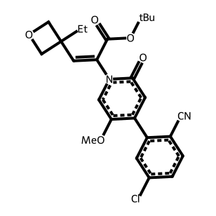 CCC1(C=C(C(=O)OC(C)(C)C)n2cc(OC)c(-c3cc(Cl)ccc3C#N)cc2=O)COC1